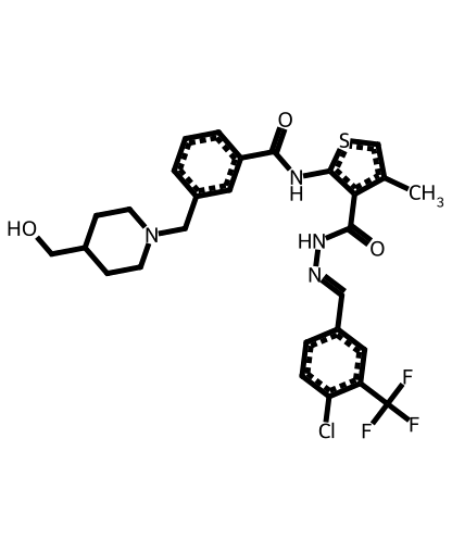 Cc1csc(NC(=O)c2cccc(CN3CCC(CO)CC3)c2)c1C(=O)N/N=C/c1ccc(Cl)c(C(F)(F)F)c1